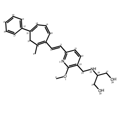 COc1nc(/C=C/C2=C(C)CC(c3ccccc3)=CC=C2)ccc1CNC(CO)CO